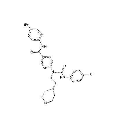 CC(C)c1ccc(NC(=O)c2ccc(N(CCN3CCOCC3)C(=O)Nc3ccc(Cl)cc3)cc2)cc1